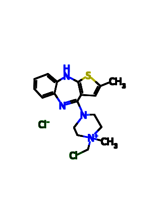 Cc1cc2c(s1)Nc1ccccc1N=C2N1CC[N+](C)(CCl)CC1.[Cl-]